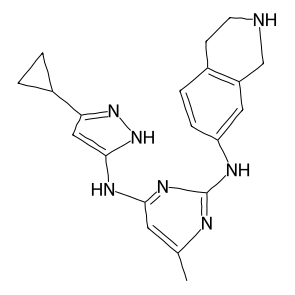 Cc1cc(Nc2cc(C3CC3)n[nH]2)nc(Nc2ccc3c(c2)CNCC3)n1